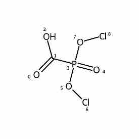 O=C(O)P(=O)(OCl)OCl